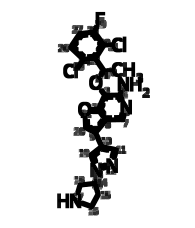 C[C@@H](Oc1c(N)ncc2c(-c3cnn([C@@H]4CCNC4)c3)coc12)c1c(Cl)ccc(F)c1Cl